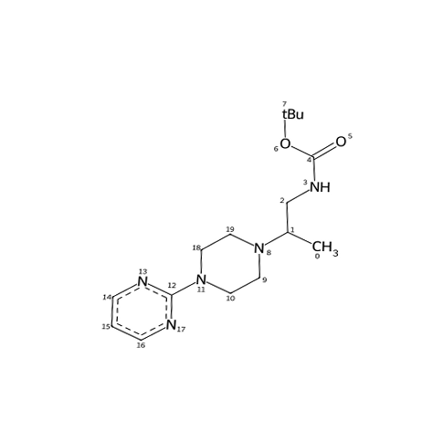 CC(CNC(=O)OC(C)(C)C)N1CCN(c2ncccn2)CC1